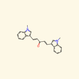 Cn1cc(C=CC(=O)C=Cc2cn(C)c3ccccc23)c2ccccc21